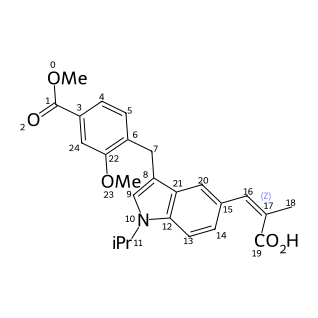 COC(=O)c1ccc(Cc2cn(C(C)C)c3ccc(/C=C(/C)C(=O)O)cc23)c(OC)c1